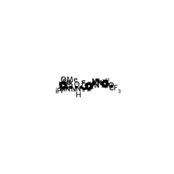 CCS/C(=N\C(=O)NCCc1ccc(-c2ncn(-c3ccc(OC(F)(F)F)cc3)n2)cc1F)Nc1cc(OC)ccc1C(C)C